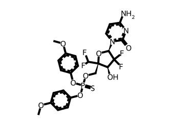 COc1ccc(OP(=S)(OC[C@@]2(C(F)F)O[C@@H](n3ccc(N)nc3=O)C(F)(F)[C@H]2O)Oc2ccc(OC)cc2)cc1